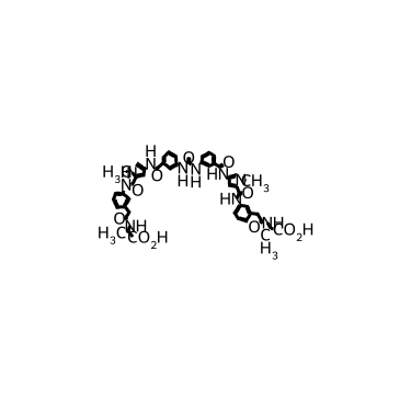 CC(NC(=O)Cc1cccc(NC(=O)c2cc(NC(=O)c3cccc(NC(=O)Nc4cccc(C(=O)Nc5cc(C(=O)Nc6cccc(CC(=O)NC(C)C(=O)O)c6)n(C)c5)c4)c3)cn2C)c1)C(=O)O